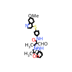 COc1ccc2c(Sc3ccc(NC(=O)/C(C=O)=C(\C)N(CC(C)(C)O)Nc4ccccc4)cc3)ccnc2c1